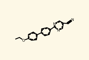 CCOc1ccc(-c2ccc(-c3ncc(C#N)cn3)cc2)cc1